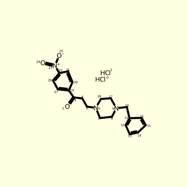 Cl.Cl.O=C(CCN1CCN(Cc2ccccc2)CC1)c1ccc([N+](=O)[O-])cc1